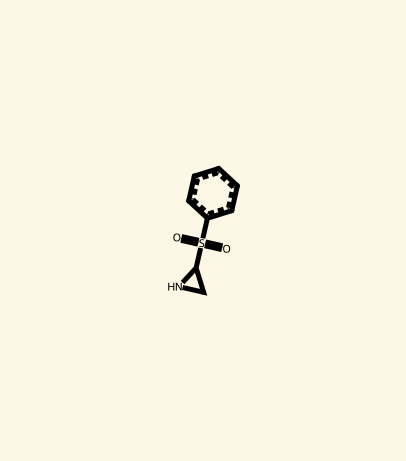 O=S(=O)(c1ccccc1)C1CN1